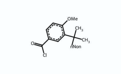 CCCCCCCCCC(C)(C)c1cc(C(=O)Cl)ccc1OC